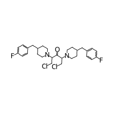 O=C(C(CCl)N1CCC(Cc2ccc(F)cc2)CC1)C(CCl)N1CCC(Cc2ccc(F)cc2)CC1